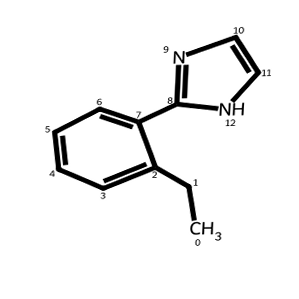 CCc1ccccc1-c1ncc[nH]1